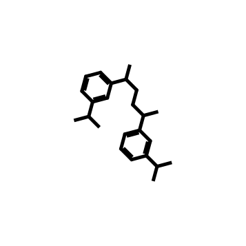 CC(C)c1cccc(C(C)CCC(C)c2cccc(C(C)C)c2)c1